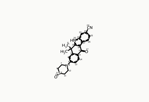 CC1(C)c2cc(N3CC[S+]([O-])CC3)ccc2C(=O)c2c1[nH]c1cc(C#N)ccc21